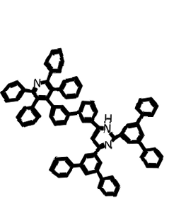 C1=C(c2cccc(-c3cccc(-c4c(-c5ccccc5)c(-c5ccccc5)nc(-c5ccccc5)c4-c4ccccc4)c3)c2)NC(c2cc(-c3ccccc3)cc(-c3ccccc3)c2)N=C1c1cc(-c2ccccc2)cc(-c2ccccc2)c1